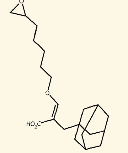 O=C(O)C(=COCCCCCC1CO1)CC12CC3CC(CC(C3)C1)C2